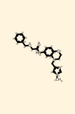 Cn1cnc(CN2CCOc3ccc(NC(=O)COCc4ccccc4)cc32)c1